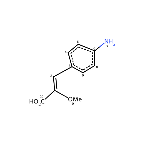 CO/C(=C\c1ccc(N)cc1)C(=O)O